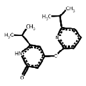 CC(C)c1cccc(Oc2cc(C(C)C)[nH]c(=O)c2)n1